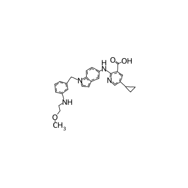 COCCNc1cccc(Cn2ccc3cc(Nc4ncc(C5CC5)cc4C(=O)O)ccc32)c1